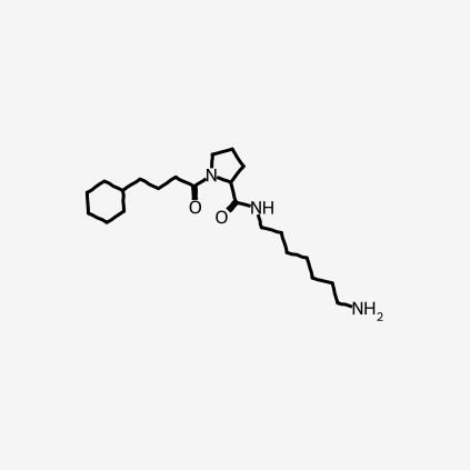 NCCCCCCCNC(=O)C1CCCN1C(=O)CCCC1CCCCC1